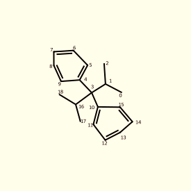 CC(C)C(c1ccccc1)(c1ccccc1)C(C)C